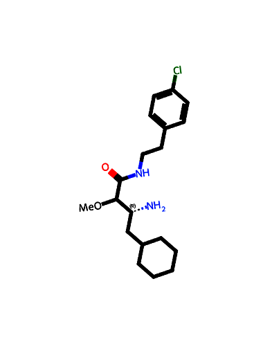 COC(C(=O)NCCc1ccc(Cl)cc1)[C@H](N)CC1CCCCC1